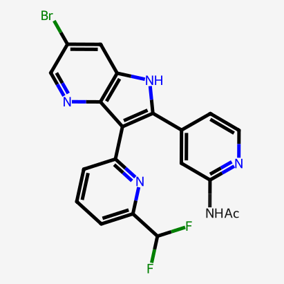 CC(=O)Nc1cc(-c2[nH]c3cc(Br)cnc3c2-c2cccc(C(F)F)n2)ccn1